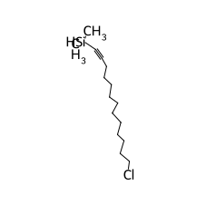 C[SiH](C)C#CCCCCCCCCCCCCl